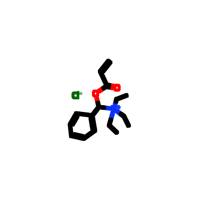 C=CC(=O)OC(c1ccccc1)[N+](CC)(CC)CC.[Cl-]